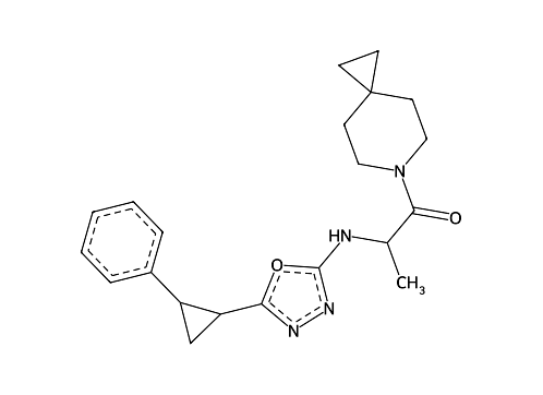 CC(Nc1nnc(C2CC2c2ccccc2)o1)C(=O)N1CCC2(CC1)CC2